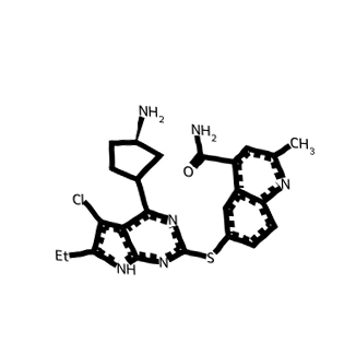 CCc1[nH]c2nc(Sc3ccc4nc(C)cc(C(N)=O)c4c3)nc(C3CC[C@@H](N)C3)c2c1Cl